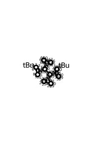 CC(C)(C)c1ccc2c(c1)c1ccccc1n2-c1cc(-c2cc(-n3c4ccccc4c4ccccc43)cc(-n3c4ccccc4c4cc(C(C)(C)C)ccc43)c2)cc(-n2c3ccccc3c3ccccc32)c1